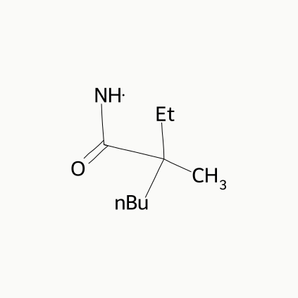 CCCCC(C)(CC)C([NH])=O